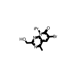 Cc1nc(CO)nc2c1cc(Br)c(=O)n2C(C)C